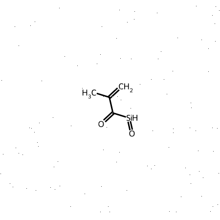 C=C(C)C(=O)[SiH]=O